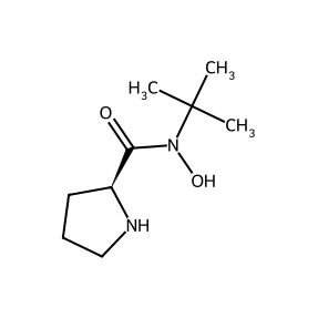 CC(C)(C)N(O)C(=O)[C@@H]1CCCN1